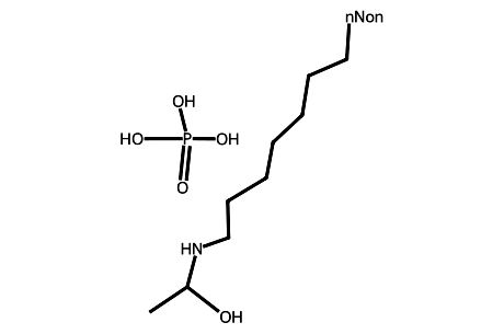 CCCCCCCCCCCCCCCCNC(C)O.O=P(O)(O)O